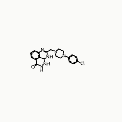 O=C1NNC2NC(CN3CCN(c4ccc(Cl)cc4)CC3)=Nc3cccc1c32